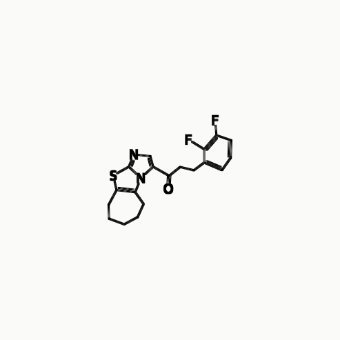 O=C(CCc1cccc(F)c1F)c1cnc2sc3c(n12)CCCCC3